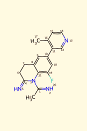 CC(=N)N1C(=N)CCc2cc(-c3cnccc3C)cc(F)c21